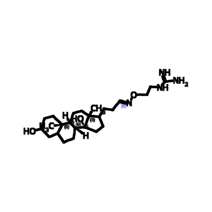 C[C@]12CCC(O)CC1CC[C@@H]1[C@H]2CC[C@]2(C)C(CC/C=N/OCCNC(=N)N)CC[C@@]12O